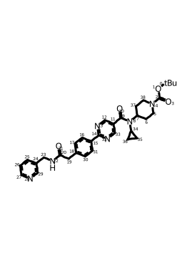 CC(C)(C)OC(=O)N1CCC(N(C(=O)c2cnc(-c3ccc(CC(=O)NCc4cccnc4)cc3)nc2)C2CC2)CC1